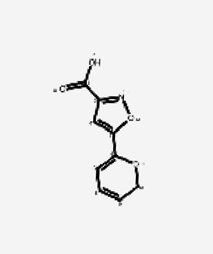 O=C(O)c1cc(C2=CC=CCO2)on1